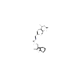 Cc1[nH]c2ccccc2c1CN(C)C(=O)/C=C/C1=CCC2=C(C=N1)NC(=O)CC2C